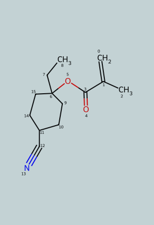 C=C(C)C(=O)OC1(CC)CCC(C#N)CC1